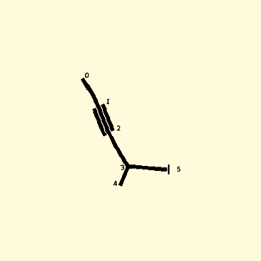 CC#CC(C)I